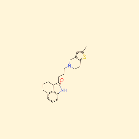 Cc1cc2c(s1)CCN(CCCCC13CCCc4cccc(c41)NC3=O)C2